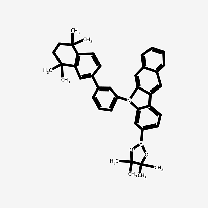 CC1(C)CCC(C)(C)c2cc(-c3cccc(-n4c5cc(B6OC(C)(C)C(C)(C)O6)ccc5c5cc6ccccc6cc54)c3)ccc21